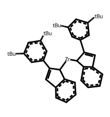 CC(C)(C)c1cc(C2=Cc3ccccc3[CH]2[Zr][CH]2C(c3cc(C(C)(C)C)cc(C(C)(C)C)c3)=Cc3ccccc32)cc(C(C)(C)C)c1